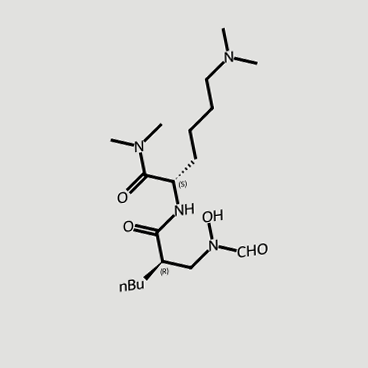 CCCC[C@H](CN(O)C=O)C(=O)N[C@@H](CCCCN(C)C)C(=O)N(C)C